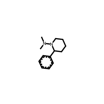 CN(C)N1CCCCC1c1ccccc1